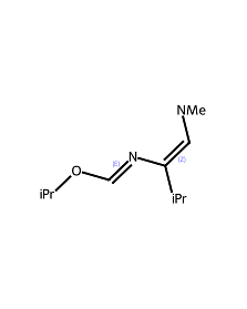 CN/C=C(\N=C\OC(C)C)C(C)C